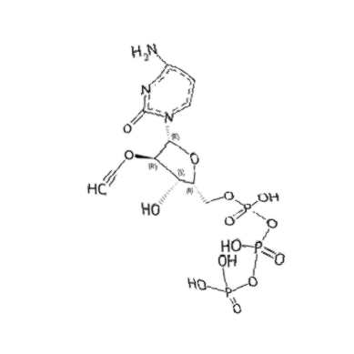 C#CO[C@@H]1[C@@H](O)[C@@H](COP(=O)(O)OP(=O)(O)OP(=O)(O)O)O[C@H]1n1ccc(N)nc1=O